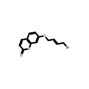 O=c1ccc2ccc(OC/C=C/CBr)cc2o1